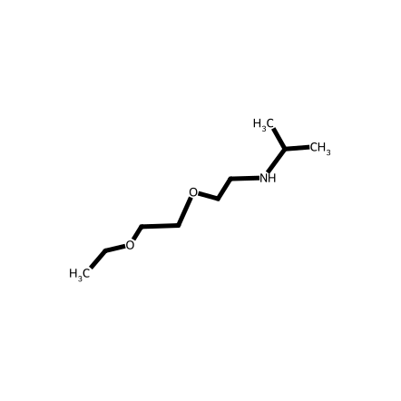 CCOCCOCCNC(C)C